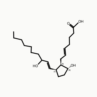 CCCCCCCC(O)C=C[C@@H]1CC[C@@H](O)[C@@H]1CC=CCCCC(=O)O